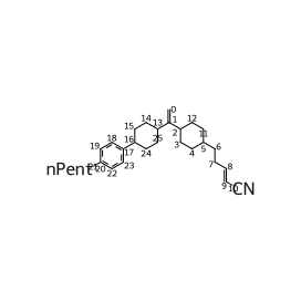 C=C(C1CCC(CCC=CC#N)CC1)C1CCC(c2ccc(CCCCC)cc2)CC1